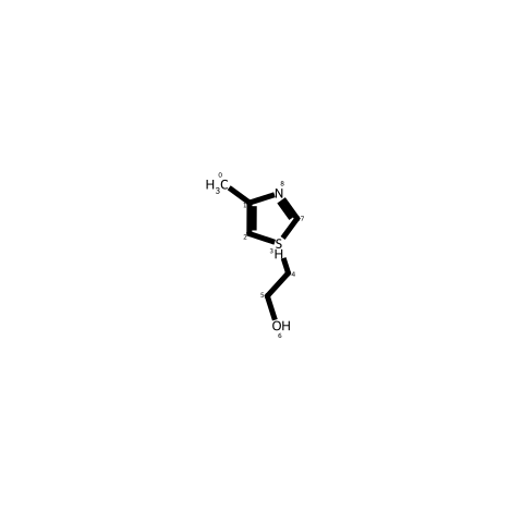 CC1=C[SH](CCO)C=N1